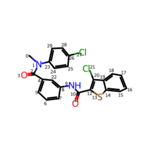 CN(C(=O)c1cccc(NC(=O)c2sc3ccccc3c2Cl)c1)c1ccc(Cl)cc1